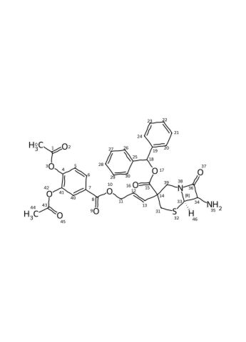 CC(=O)Oc1ccc(C(=O)OCC=CC2(C(=O)OC(c3ccccc3)c3ccccc3)CS[C@@H]3C(N)C(=O)N3C2)cc1OC(C)=O